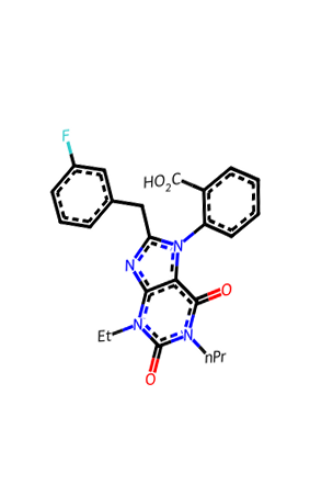 CCCn1c(=O)c2c(nc(Cc3cccc(F)c3)n2-c2ccccc2C(=O)O)n(CC)c1=O